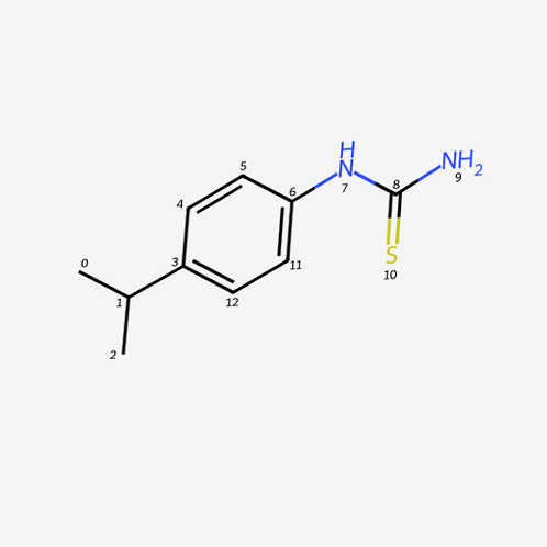 CC(C)c1ccc(NC(N)=S)cc1